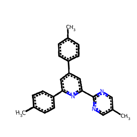 Cc1ccc(-c2cc(-c3ccc(C)cc3)nc(-c3ncc(C)cn3)c2)cc1